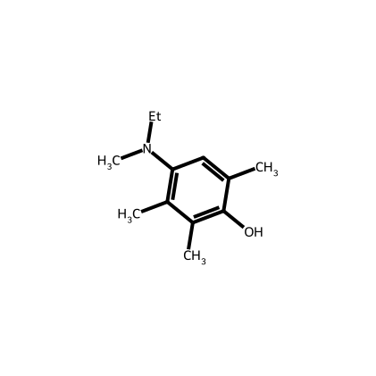 CCN(C)c1cc(C)c(O)c(C)c1C